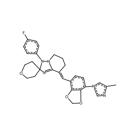 Cc1cn(-c2ccc(/C=C3\CCCN4C3=NC3(CCOCC3)N4c3ccc(F)cc3)c3c2OCO3)cn1